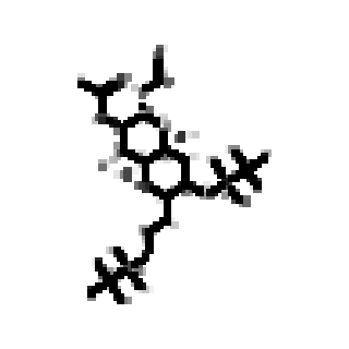 CC(=O)O[C@@H]1[C@@H](C)[C@@H]2O[C@H](CCO[Si](C)(C)C(C)(C)C)C(O[Si](C)(C)C(C)(C)C)C[C@@H]2O[C@H]1CC=O